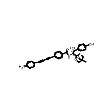 CC12COC([C@@H](NC(=O)c3ccc(C#CC#Cc4ccc(N)cc4)cc3)[C@H](O)c3ccc(O)cc3)(OC1)OC2